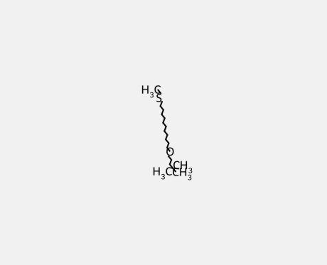 CCSCCCCCCCCCCCCOCCCC(C)(C)C